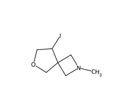 CN1CC2(COCC2I)C1